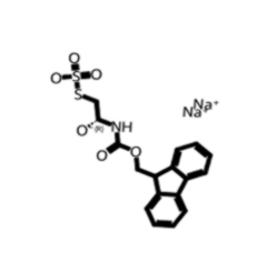 O=C(N[C@H]([O-])CSS(=O)(=O)[O-])OCC1c2ccccc2-c2ccccc21.[Na+].[Na+]